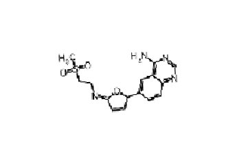 CS(=O)(=O)CCN=C1C=CC(c2ccc3ncnc(N)c3c2)O1